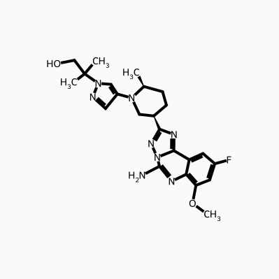 COc1cc(F)cc2c1nc(N)n1nc([C@@H]3CC[C@H](C)N(c4cnn(C(C)(C)CO)c4)C3)nc21